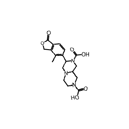 Cc1c(C2CN3CCN(C(=O)O)CC3CN2C(=O)O)ccc2c1COC2=O